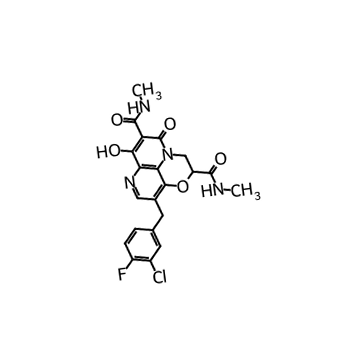 CNC(=O)c1c(O)c2ncc(Cc3ccc(F)c(Cl)c3)c3c2n(c1=O)CC(C(=O)NC)O3